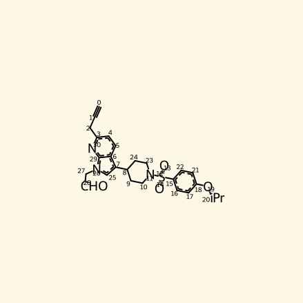 C#CCc1ccc2c(C3CCN(S(=O)(=O)c4ccc(OC(C)C)cc4)CC3)cn(CC=O)c2n1